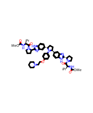 COC(=O)N[C@H](C(=O)N1CCCC1c1nc2cc([C@@H]3CC[C@@H](c4ccc5[nH]c([C@@H]6CCCN6C(=O)[C@@H](NC(=O)OC)C(C)C)nc5c4)N3c3ccc(OCCN4CCCCC4)cc3)ccc2[nH]1)C(C)C